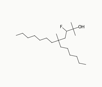 CCCCCCCC(C)(CCCCCC)CC(F)C(C)(C)O